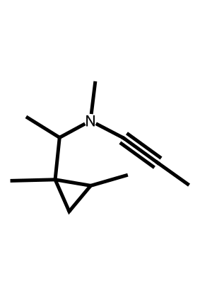 CC#CN(C)C(C)C1(C)CC1C